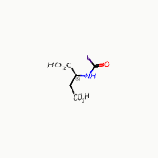 O=C(O)C[C@H](NC(=O)I)C(=O)O